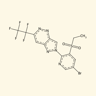 CCS(=O)(=O)c1cc(Br)cnc1-n1cc2nnc(C(F)(F)C(F)(F)F)cc2n1